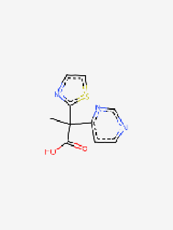 CC(C(=O)O)(c1ccncn1)c1nccs1